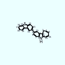 C1=CCc2c([nH]c3ccc(-c4ccc5sc6ccccc6c5c4)cc23)C=C1